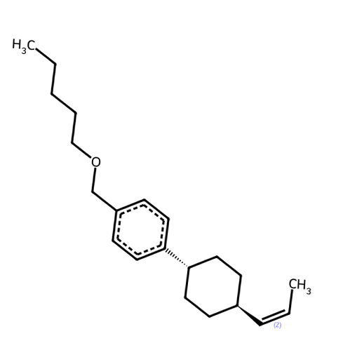 C/C=C\[C@H]1CC[C@H](c2ccc(COCCCCC)cc2)CC1